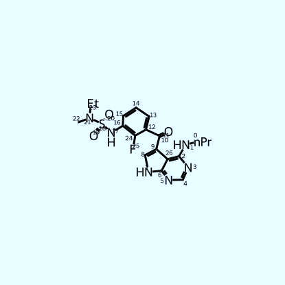 CCCNc1ncnc2[nH]cc(C(=O)c3cccc(NS(=O)(=O)N(C)CC)c3F)c12